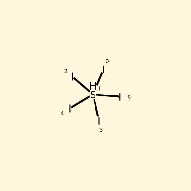 I[SH](I)(I)(I)I